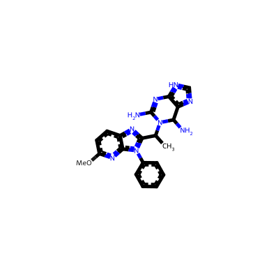 COc1ccc2nc(C(C)N3C(N)=Nc4[nH]cnc4C3N)n(-c3ccccc3)c2n1